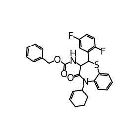 O=C(NC1C(=O)N(C2C=CCCC2)c2ccccc2SC1c1cc(F)ccc1F)OCc1ccccc1